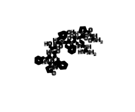 CC(C)C[C@H](NC(=O)[C@@H](Cc1ccccc1)NC(=O)[C@H](Cc1ccc(O)cc1)NC(=O)[C@H](CO)NC(=O)[C@H](Cc1c[nH]c2ccccc12)NC(=O)[C@@H](Cc1ccccc1)NC(=O)[C@@H]1CCC(=O)N1)C(=O)N[C@@H](CCCNC(=N)N)C(=O)N1CCC[C@H]1C(=O)NNC(N)=O